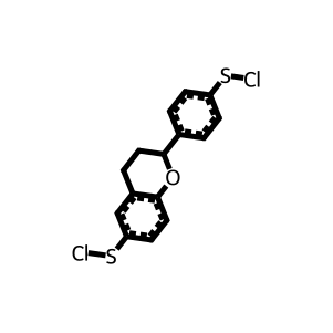 ClSc1ccc(C2CCc3cc(SCl)ccc3O2)cc1